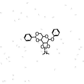 CN(C)P1OC2C(Oc3ccccc3)OC3COC(c4ccccc4)OC3C2O1